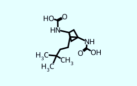 CC(C)(C)CCC1C2(NC(=O)O)CC1(NC(=O)O)C2